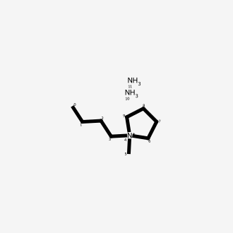 CCCC[N+]1(C)CCCC1.N.N